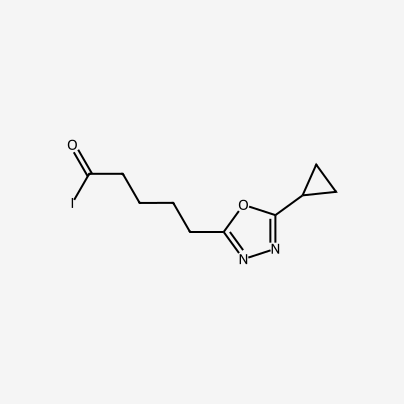 O=C(I)CCCCc1nnc(C2CC2)o1